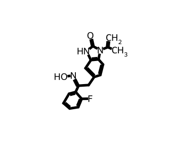 C=C(C)n1c(=O)[nH]c2cc(CC(=NO)c3ccccc3F)ccc21